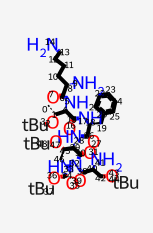 C[C@@H](OC(C)(C)C)[C@H](NC(=O)[C@@H](N)CCCCN)C(=O)N[C@@H](Cc1ccccc1)C(=O)N[C@H](C(=O)N(NC(=O)OC(C)(C)C)C(=O)[C@@H](N)COC(C)(C)C)[C@@H](C)OC(C)(C)C